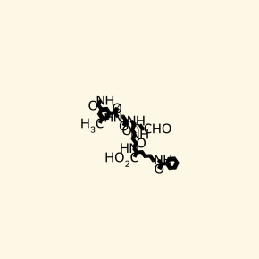 Cc1cc(C(N)=O)cc(C(=O)NCC(=O)N[C@H](CCC=O)C(=O)NCC(=O)NC(CCCCNC(=O)c2ccccc2)C(=O)O)c1